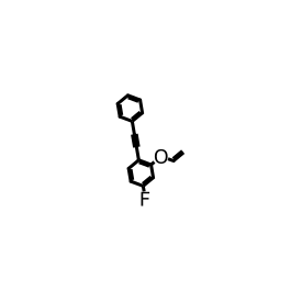 C=COc1cc(F)ccc1C#Cc1ccccc1